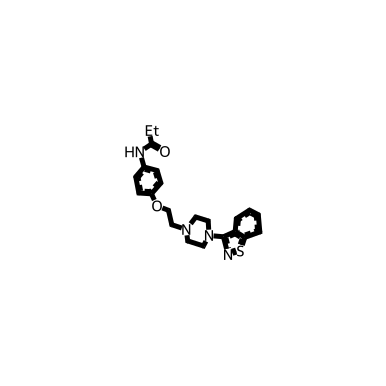 CCC(=O)Nc1ccc(OCCN2CCN(c3nsc4ccccc34)CC2)cc1